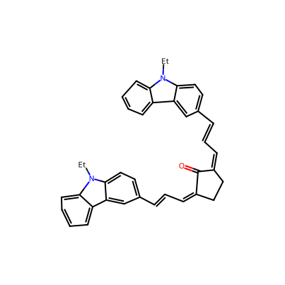 CCn1c2ccccc2c2cc(C=CC=C3CCC(=CC=Cc4ccc5c(c4)c4ccccc4n5CC)C3=O)ccc21